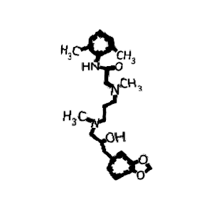 Cc1cccc(C)c1NC(=O)CN(C)CCCN(C)CC(O)Cc1ccc2c(c1)OCO2